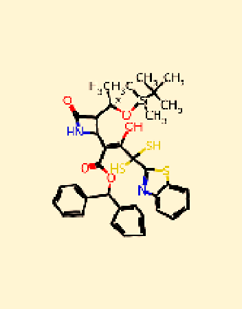 C[C@@H](O[Si](C)(C)C(C)(C)C)C1C(=O)NC1C(C(=O)OC(c1ccccc1)c1ccccc1)=C(O)C(S)(S)c1nc2ccccc2s1